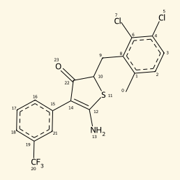 Cc1ccc(Cl)c(Cl)c1CC1SC(N)=C(c2cccc(C(F)(F)F)c2)C1=O